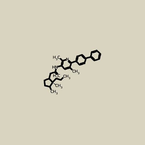 C=C(CC1CCC(C)[C@]1(C)CCC)Nc1cc(C)c(-c2ccc(-c3ccccc3)cc2)nc1C